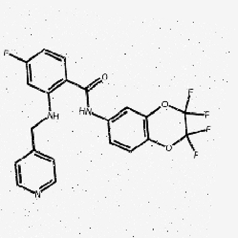 O=C(Nc1ccc2c(c1)OC(F)(F)C(F)(F)O2)c1ccc(F)cc1NCc1ccncc1